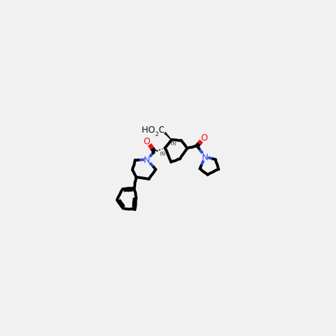 O=C(O)[C@H]1CC(C(=O)N2CCCC2)CC[C@@H]1C(=O)N1CCC(c2ccccc2)CC1